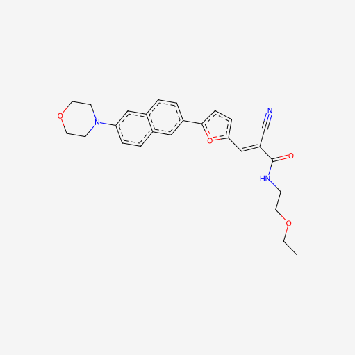 CCOCCNC(=O)/C(C#N)=C/c1ccc(-c2ccc3cc(N4CCOCC4)ccc3c2)o1